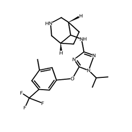 Cc1cc(Oc2nc(NC3[C@@H]4CC[C@H]3CNC4)nn2C(C)C)cc(C(F)(F)F)c1